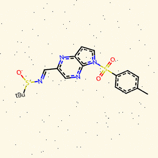 Cc1ccc(S(=O)(=O)n2ccc3nc(/C=N/[S+]([O-])C(C)(C)C)cnc32)cc1